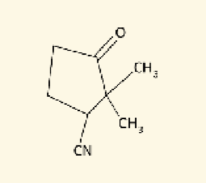 CC1(C)C(=O)CCC1C#N